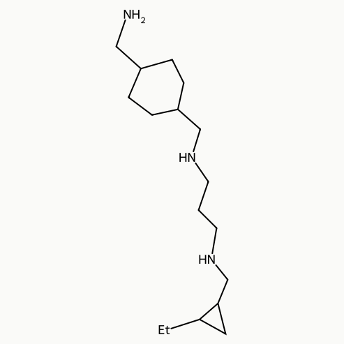 CCC1CC1CNCCCNCC1CCC(CN)CC1